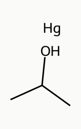 CC(C)O.[Hg]